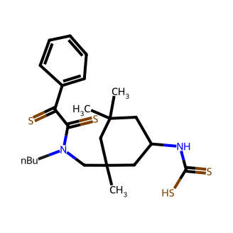 CCCCN(CC1(C)CC(NC(=S)S)CC(C)(C)C1)C(=S)C(=S)c1ccccc1